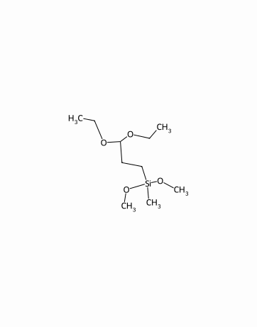 CCOC(CC[Si](C)(OC)OC)OCC